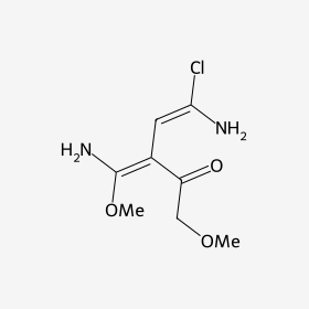 COCC(=O)C(/C=C(\N)Cl)=C(/N)OC